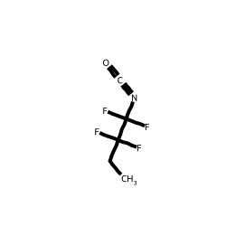 CCC(F)(F)C(F)(F)N=C=O